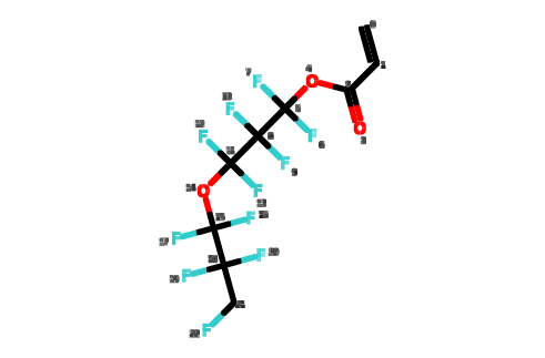 C=CC(=O)OC(F)(F)C(F)(F)C(F)(F)OC(F)(F)C(F)(F)CF